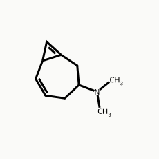 CN(C)C1CC=CC2C=C2C1